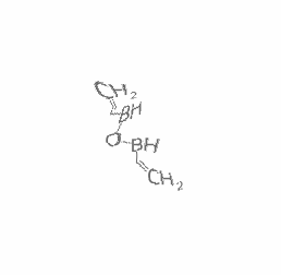 C=CBOBC=C